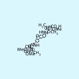 COC(=O)N[C@H](C(=O)N1C[C@@H](C)C[C@H]1c1ncc(-c2ccc3c(c2)COc2cc4c(ccc5nc([C@@H]6C[C@H](C)CN6C(=O)[C@@H](NC(=O)O)[C@@H](C)OC)[nH]c54)cc2-3)[nH]1)C(C)OC